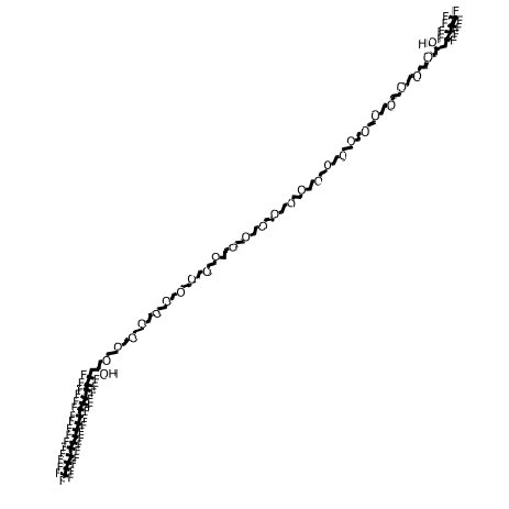 OC(COCCOCCOCCOCCOCCOCCOCCOCCOCCOCCOCCOCCOCCOCCOCCOCCOCCOCCOCCOCCOCCOCCOCCOCCOCCOCC(O)CC(F)(F)C(F)(F)C(F)(F)C(F)(F)C(F)(F)C(F)(F)C(F)(F)C(F)(F)C(F)(F)C(F)(F)C(F)(F)C(F)(F)C(F)(F)C(F)(F)C(F)(F)C(F)(F)F)CC(F)(F)C(F)(F)C(F)(F)C(F)(F)F